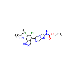 CCOC(=O)Nc1cn2cc(-c3c(Cl)c(F)c(NC(C)C)c4[nH]ncc34)ncc2n1